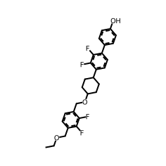 CCOCc1ccc(COC2CCC(c3ccc(-c4ccc(O)cc4)c(F)c3F)CC2)c(F)c1F